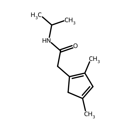 CC1=CC(C)=C(CC(=O)NC(C)C)C1